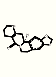 O=C1C2=C(C[C@H]3c4cc5c(cc4CCN13)OCO5)NCCC2